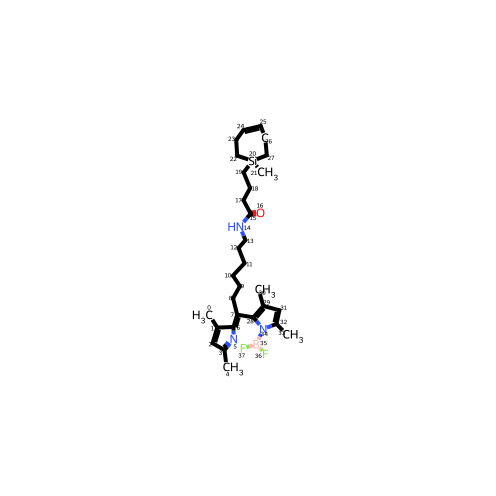 CC1=CC(C)=NC1=C(CCCCCCNC(=O)CCC[Si]1(C)CCC=CCC1)c1c(C)cc(C)n1B(F)F